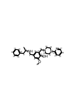 COc1cc(CNC(C)Cc2ccccc2)cc(CN2CCN(c3ccccn3)CC2)c1O